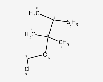 CC([SiH3])C(C)(C)OCCl